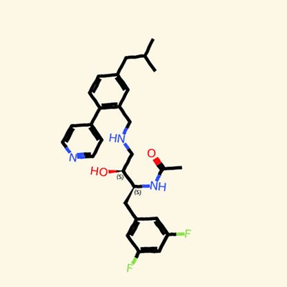 CC(=O)N[C@@H](Cc1cc(F)cc(F)c1)[C@@H](O)CNCc1cc(CC(C)C)ccc1-c1ccncc1